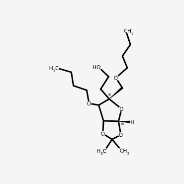 CCCCOC[C@@]1(CCO)O[C@@H]2OC(C)(C)OC2C1OCCCC